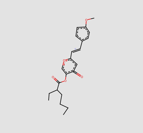 CCCCC(CC)C(=O)Oc1coc(/C=C/c2ccc(OC)cc2)cc1=O